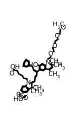 COCCOCCOCCOCCN1c2cc(O)c(C(=C\Cc3ccccc3)/C=C/C=C3\N(CCCCCC(=O)O)c4ccc(S(=O)(=O)O)cc4C3(C)C)cc2C(C)=CC1(C)C